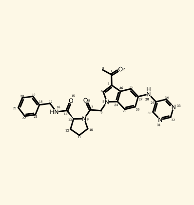 CC(=O)c1cn(CC(=O)N2CCC[C@H]2C(=O)NCc2ccccc2)c2ccc(Nc3cncnc3)cc12